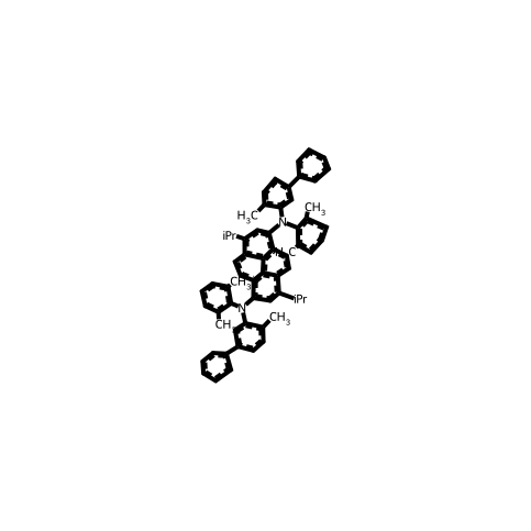 Cc1ccc(-c2ccccc2)cc1N(c1c(C)cccc1C)c1cc(C(C)C)c2ccc3c(N(c4cc(-c5ccccc5)ccc4C)c4c(C)cccc4C)cc(C(C)C)c4ccc1c2c43